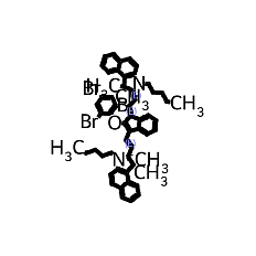 CCCCCN1/C(=C/C=C2C(Oc3c(Br)cc(Br)cc3Br)=C(/C=C/C3=[N+](CCCCC)c4ccc5ccccc5c4C3(C)C)c3ccccc3/2)C(C)(C)c2c1ccc1ccccc21